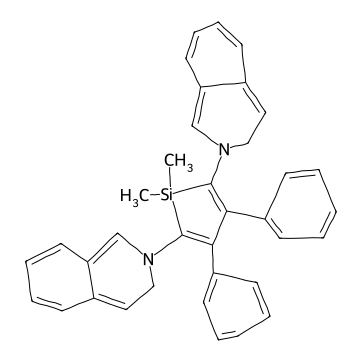 C[Si]1(C)C(N2C=c3ccccc3=CC2)=C(c2ccccc2)C(c2ccccc2)=C1N1C=c2ccccc2=CC1